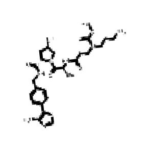 Cc1ncsc1-c1ccc(CNC(=O)[C@@H]2C[C@@H](O)CN2C(=O)[C@@H](NC(=O)CCN(CCCN)C(=O)OC(C)(C)C)C(C)(C)C)cc1